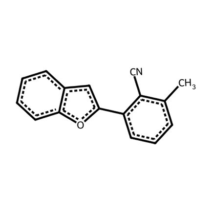 Cc1cccc(-c2cc3ccccc3o2)c1C#N